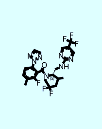 Cc1ccc(-n2nccn2)c(C(=O)N2CC(F)(F)CC(C)[C@H]2CNc2ncc(C(F)(F)F)cn2)c1F